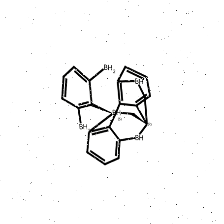 Bc1cccc(B)c1[C@H]1c2c3cccc2B[C@@]2(CB3)CBc3cccc2c31